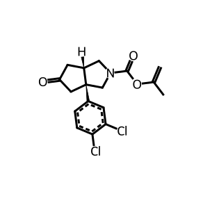 C=C(C)OC(=O)N1C[C@H]2CC(=O)C[C@@]2(c2ccc(Cl)c(Cl)c2)C1